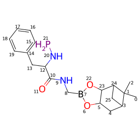 CC1(C)C2CC3OB(CNC(=O)C(Cc4ccccc4)NP)OC3C1C2